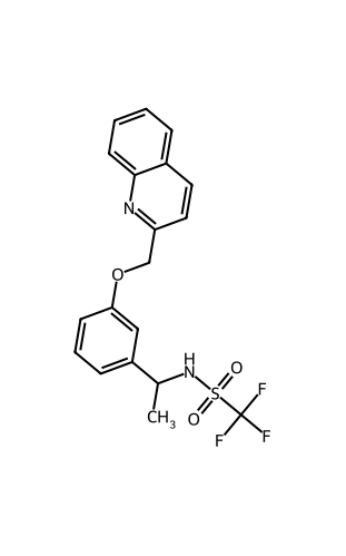 CC(NS(=O)(=O)C(F)(F)F)c1cccc(OCc2ccc3ccccc3n2)c1